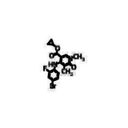 Cc1c(Nc2ccc(Br)cc2F)c(C(=O)OC2CC2)cn(C)c1=O